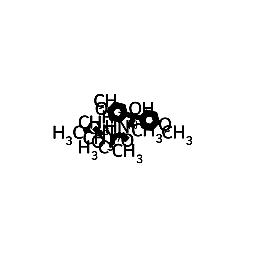 COc1ccc(C(O)(c2ccc(OC)cc2)[C@H](C)NC(=O)[C@@H](NC(=O)OC(C)(C)C)C(C)C)cc1